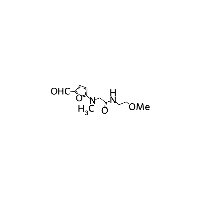 COCCNC(=O)CN(C)c1ccc(C=O)o1